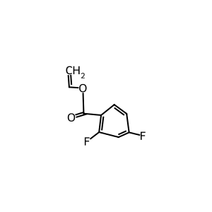 C=COC(=O)c1ccc(F)cc1F